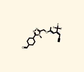 C#C/C=C(\C=C(/C)OCc1nnc(C2CCC(C=O)CC2)n1C)C(F)(F)F